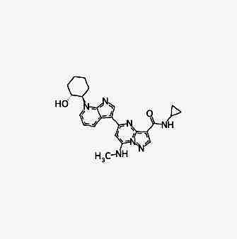 CNc1cc(-c2cnc3n([C@@H]4CCCC[C@H]4O)cccc2-3)nc2c(C(=O)NC3CC3)cnn12